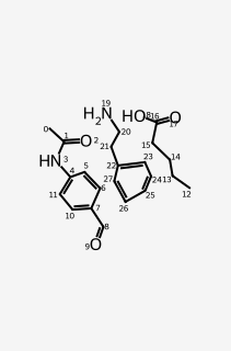 CC(=O)Nc1ccc(C=O)cc1.CCCCC(=O)O.NCCc1ccccc1